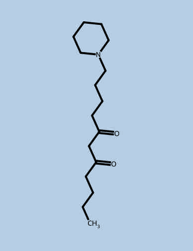 CCCCC(=O)CC(=O)CCCCN1CCCCC1